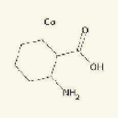 NC1CCCCC1C(=O)O.[Co]